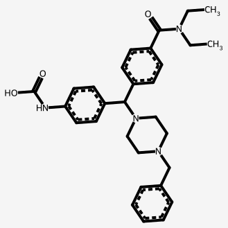 CCN(CC)C(=O)c1ccc(C(c2ccc(NC(=O)O)cc2)N2CCN(Cc3ccccc3)CC2)cc1